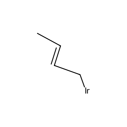 CC=C[CH2][Ir]